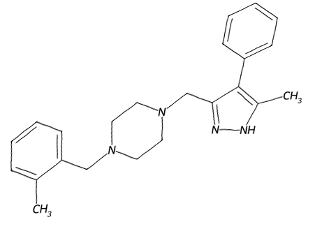 Cc1ccccc1CN1CCN(Cc2n[nH]c(C)c2-c2ccccc2)CC1